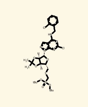 CC(C)(C)OP(=O)(CSC[C@H]1O[C@@H](n2ncc3c(NCc4ccccc4Cl)nc(Cl)nc32)[C@@H]2OC(C)(C)O[C@@H]21)OC(C)(C)C